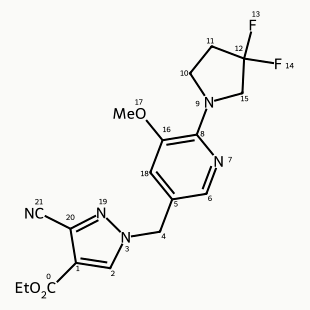 CCOC(=O)c1cn(Cc2cnc(N3CCC(F)(F)C3)c(OC)c2)nc1C#N